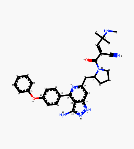 CNC(C)(C)C=C(C#N)C(=O)N1CCCC1Cc1cc2[nH]nc(N)c2c(-c2ccc(Oc3ccccc3)cc2)n1